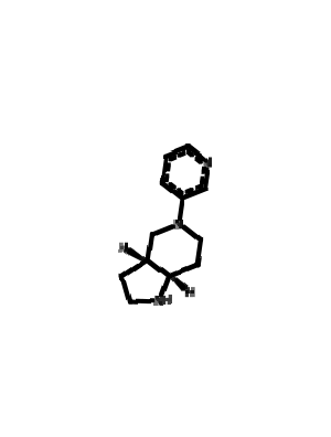 c1cncc(N2CC[C@@H]3NCC[C@@H]3C2)c1